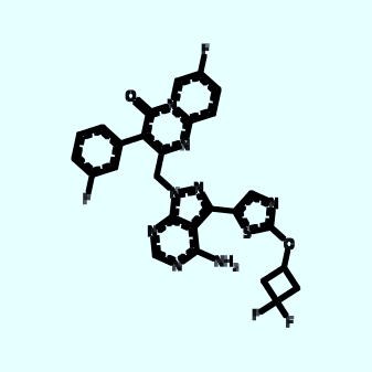 Nc1ncnc2c1c(-c1cnc(OC3CC(F)(F)C3)s1)nn2Cc1nc2ccc(F)cn2c(=O)c1-c1cccc(F)c1